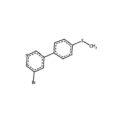 CSc1ccc(-c2cncc(Br)c2)cc1